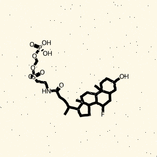 CC(CCC(=O)NCCS(=O)(=O)OCOP(=O)(O)O)C1CCC2C3C(F)CC4CC(O)CCC4(C)C3CCC12C